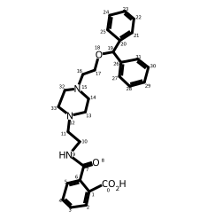 O=C(O)c1ccccc1C(=O)NCCN1CCN(CCOC(c2ccccc2)c2ccccc2)CC1